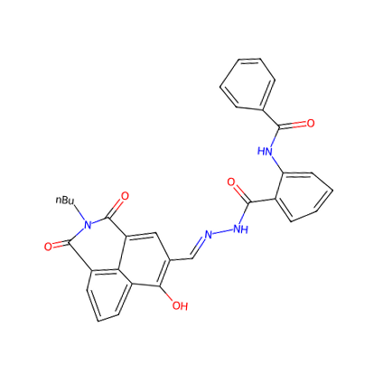 CCCCN1C(=O)c2cccc3c(O)c(C=NNC(=O)c4ccccc4NC(=O)c4ccccc4)cc(c23)C1=O